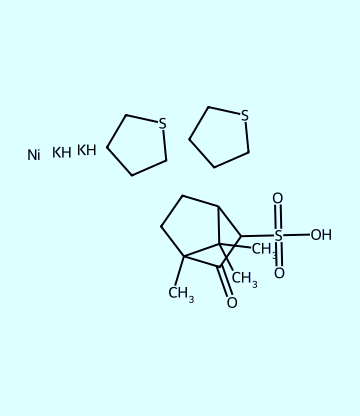 C1CCSC1.C1CCSC1.CC12CCC(C(S(=O)(=O)O)C1=O)C2(C)C.[KH].[KH].[Ni]